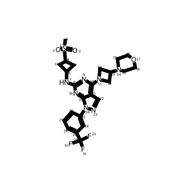 CS(=O)(=O)C1CC(Nc2nc(N3CC(N4CCOCC4)C3)c3cnn(-c4cccc(C(F)(F)F)c4)c3n2)C1